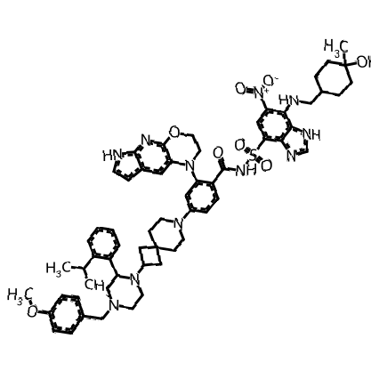 COc1ccc(CN2CCN(C3CC4(CCN(c5ccc(C(=O)NS(=O)(=O)c6cc([N+](=O)[O-])c(NCC7CCC(C)(O)CC7)c7[nH]cnc67)c(N6CCOc7nc8[nH]ccc8cc76)c5)CC4)C3)C(c3ccccc3C(C)C)C2)cc1